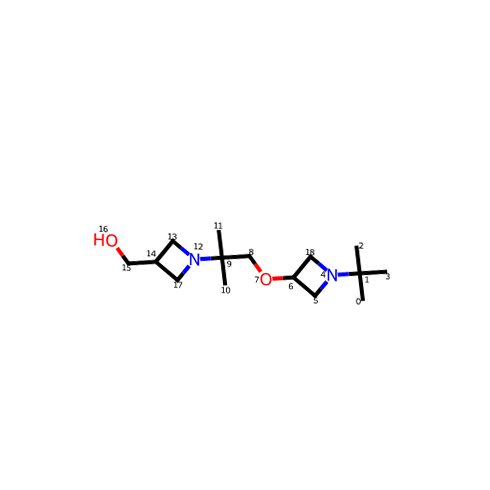 CC(C)(C)N1CC(OCC(C)(C)N2CC(CO)C2)C1